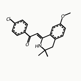 COc1ccc2c(c1)C(=CC(=O)c1ccc(Cl)cc1)NC(C)(C)C2